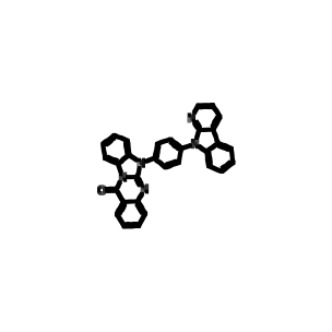 O=c1c2ccccc2nc2n(-c3ccc(-n4c5ccccc5c5cccnc54)cc3)c3ccccc3n12